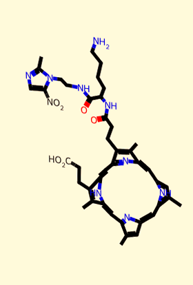 CC1=Cc2cc3[nH]c(cc4nc(cc5[nH]c(cc1n2)c(C)c5CCC(=O)O)C(CCC(=O)NC(CCCCN)C(=O)NCCn1c([N+](=O)[O-])cnc1C)=C4C)cc3C